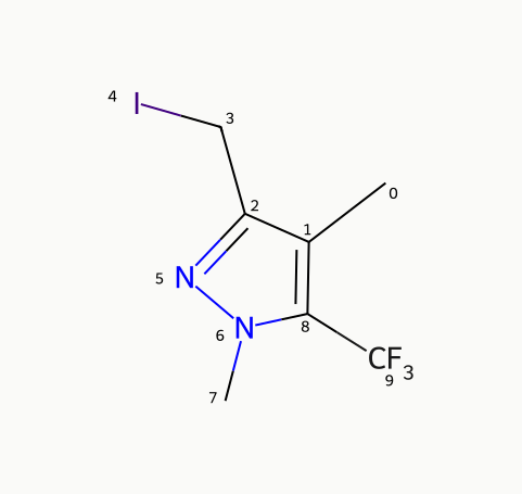 Cc1c(CI)nn(C)c1C(F)(F)F